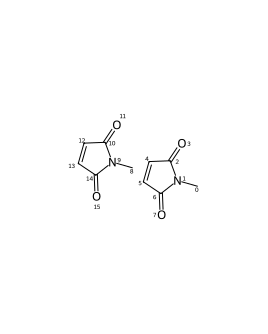 CN1C(=O)C=CC1=O.CN1C(=O)C=CC1=O